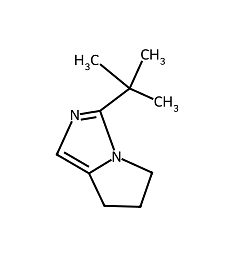 CC(C)(C)c1ncc2n1CCC2